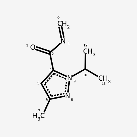 C=NC(=O)c1cc(C)nn1C(C)C